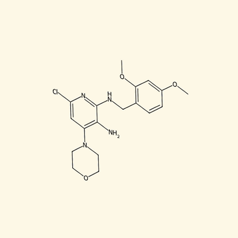 COc1ccc(CNc2nc(Cl)cc(N3CCOCC3)c2N)c(OC)c1